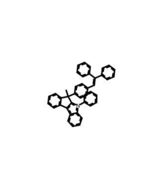 CC1(c2ccc(C=C(c3ccccc3)c3ccccc3)cc2)c2ccccc2-c2c1n(-c1ccccc1)c1ccccc21